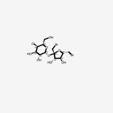 OC[C@H]1O[C@H](O[C@]2(CBr)O[C@H](CBr)[C@@H](O)[C@@H]2O)[C@H](O)[C@@H](O)[C@H]1Cl